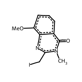 COc1cccc2c(=O)n(C)c(CI)nc12